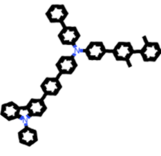 Cc1ccccc1-c1ccc(-c2ccc(N(c3ccc(-c4ccccc4)cc3)c3ccc(-c4ccc(-c5ccc6c(c5)c5ccccc5n6-c5ccccc5)cc4)cc3)cc2)cc1C